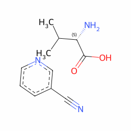 CC(C)[C@H](N)C(=O)O.N#Cc1cccnc1